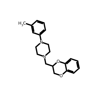 Cc1cccc(N2CCN(CC3COc4ccccc4O3)CC2)c1